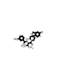 CC(C)[C@@H](NC(=O)c1cccc(O)c1)C(=O)N1CCC2(CC1)OCc1cc(Cl)ccc12